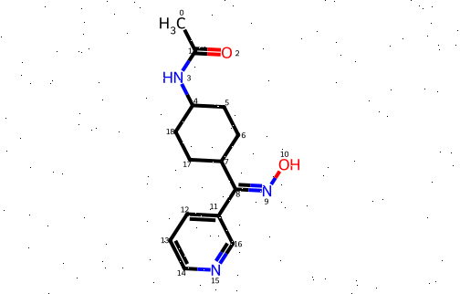 CC(=O)NC1CCC(/C(=N\O)c2cccnc2)CC1